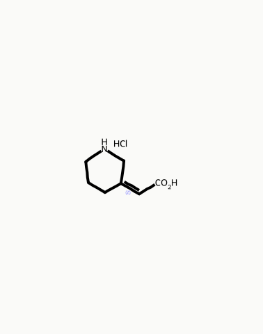 Cl.O=C(O)/C=C1/CCCNC1